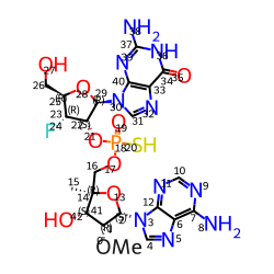 CO[C@H]1[C@@H](n2cnc3c(N)ncnc32)O[C@](C)(COP(=O)(S)O[C@@H]2[C@H](F)[C@@H](CO)O[C@H]2n2cnc3c(=O)[nH]c(N)nc32)[C@H]1O